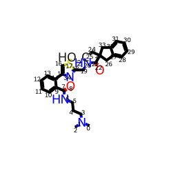 CN(C)CCCNC(=O)c1ccccc1-c1csc(CNC(=O)C2(CC(=O)O)Cc3ccccc3C2)n1